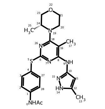 CC(=O)Nc1ccc(Sc2nc(Nc3cc(C)[nH]n3)c(C)c(N3CCOC[C@H]3C)n2)cc1